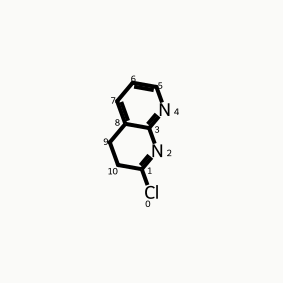 ClC1=Nc2ncccc2CC1